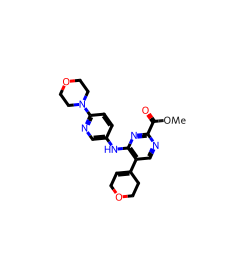 COC(=O)c1ncc(C2=CCOCC2)c(Nc2ccc(N3CCOCC3)nc2)n1